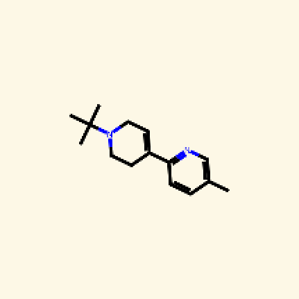 Cc1ccc(C2=CCN(C(C)(C)C)CC2)nc1